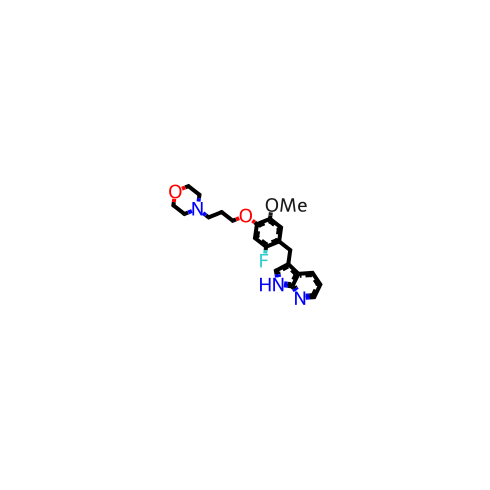 COc1cc(Cc2c[nH]c3ncccc23)c(F)cc1OCCCN1CCOCC1